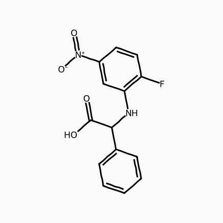 O=C(O)C(Nc1cc([N+](=O)[O-])ccc1F)c1ccccc1